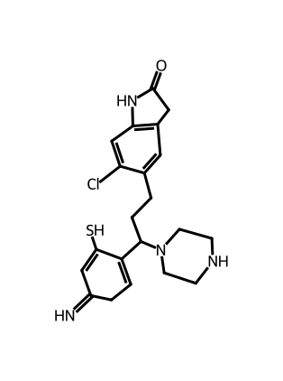 N=C1C=C(S)C(C(CCc2cc3c(cc2Cl)NC(=O)C3)N2CCNCC2)=CC1